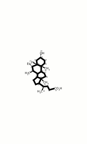 CC[C@H]1[C@H](C)C2C3CCC([C@H](C)CCC(=O)O)[C@@]3(C)CCC2[C@@]2(C)CC[C@@H](O)C[C@@H]12